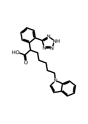 O=C(O)C(CCCCCn1ccc2ccccc21)c1ccccc1-c1nn[nH]n1